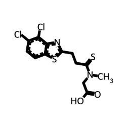 CN(CC(=O)O)C(=S)CCc1nc2c(Cl)c(Cl)ccc2s1